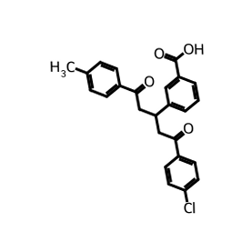 Cc1ccc(C(=O)CC(CC(=O)c2ccc(Cl)cc2)c2cccc(C(=O)O)c2)cc1